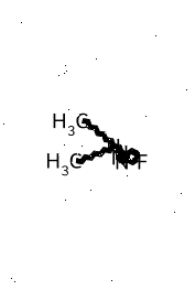 CCCCCCCCN(CCCCCCCC)Cn1nnc2cc(F)ccc21